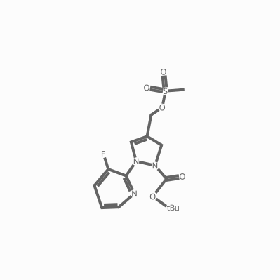 CC(C)(C)OC(=O)N1CC(COS(C)(=O)=O)=CN1c1ncccc1F